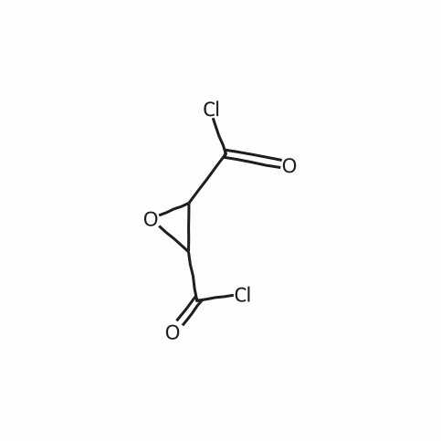 O=C(Cl)C1OC1C(=O)Cl